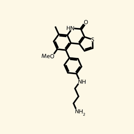 COc1cc(C)c2[nH]c(=O)c3sccc3c2c1-c1ccc(NCCCN)cc1